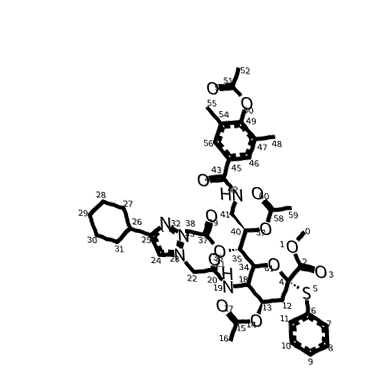 COC(=O)[C@@]1(Sc2ccccc2)C[C@@H](OC(C)=O)C(NC(=O)Cn2cc(C3CCCCC3)nn2)C([C@H](OC(C)=O)[C@@H](CNC(=O)c2cc(C)c(OC(C)=O)c(C)c2)OC(C)=O)O1